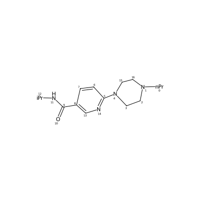 CCCN1CCN(c2ccc(C(=O)NC(C)C)cn2)CC1